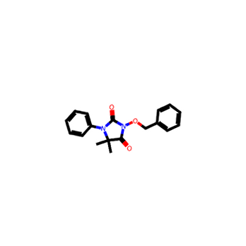 CC1(C)C(=O)N(OCc2ccccc2)C(=O)N1c1ccccc1